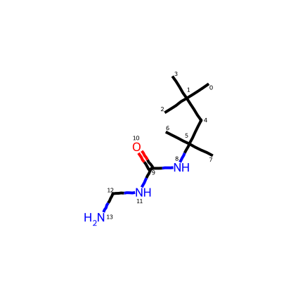 CC(C)(C)CC(C)(C)NC(=O)NCN